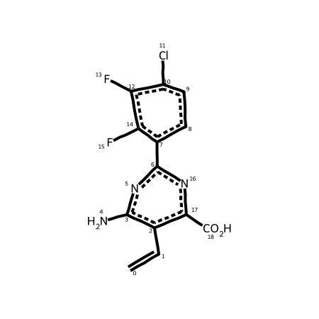 C=Cc1c(N)nc(-c2ccc(Cl)c(F)c2F)nc1C(=O)O